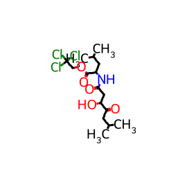 CC(C)CC(=O)C(O)CC(=O)NC(CC(C)C)C(=O)OCC(Cl)(Cl)Cl